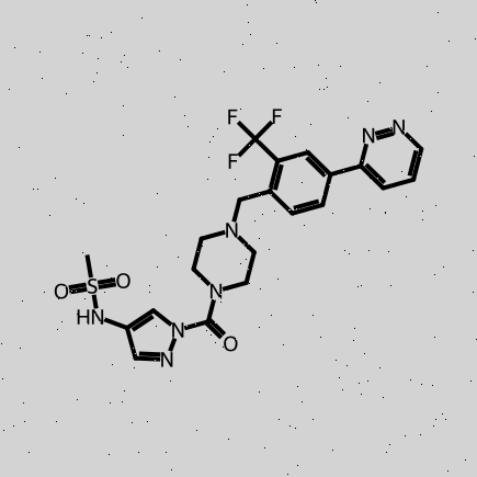 CS(=O)(=O)Nc1cnn(C(=O)N2CCN(Cc3ccc(-c4cccnn4)cc3C(F)(F)F)CC2)c1